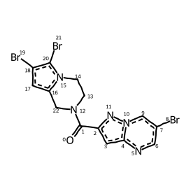 O=C(c1cc2ncc(Br)cn2n1)N1CCn2c(cc(Br)c2Br)C1